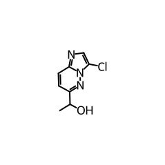 CC(O)c1ccc2ncc(Cl)n2n1